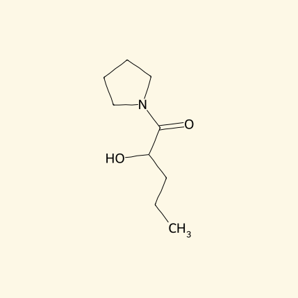 CCCC(O)C(=O)N1CCCC1